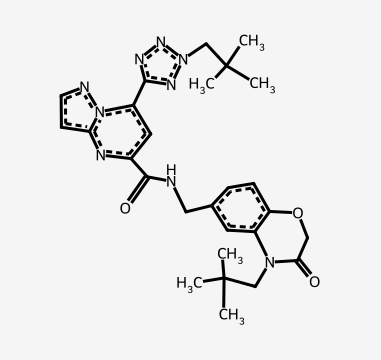 CC(C)(C)CN1C(=O)COc2ccc(CNC(=O)c3cc(-c4nnn(CC(C)(C)C)n4)n4nccc4n3)cc21